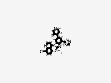 Cc1nc2c(-c3nnc[nH]3)cc(-c3ccncc3F)cc2n1-c1ccnc2c(Cl)cccc12